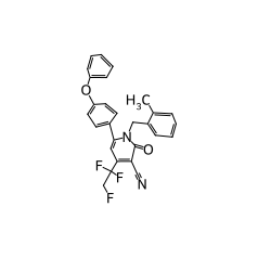 Cc1ccccc1Cn1c(-c2ccc(Oc3ccccc3)cc2)cc(C(F)(F)CF)c(C#N)c1=O